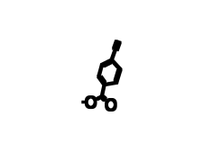 C#Cc1ccc(C([O])=O)cc1